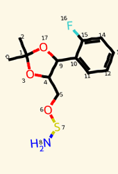 CC1(C)OC(COSN)C(c2ccccc2F)O1